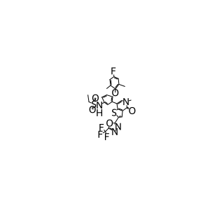 CCS(=O)(=O)Nc1ccc(Oc2c(C)cc(F)cc2C)c(-c2cn(C)c(=O)c3cc(-c4nnc(C(F)(F)F)o4)sc23)c1